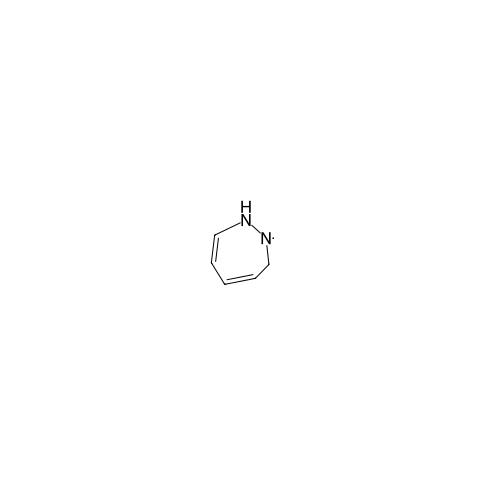 C1=CC[N]NC=C1